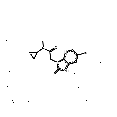 CN(C(=O)Cn1c(=O)[nH]c2cc(Br)cnc21)C1CC1